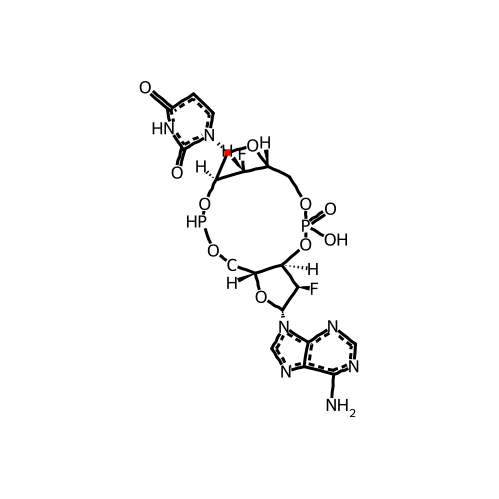 Nc1ncnc2c1ncn2[C@@H]1O[C@@H]2COPO[C@@H]3[C@H](F)[C@@H](COP(=O)(O)O[C@H]2[C@H]1F)O[C@H]3n1ccc(=O)[nH]c1=O